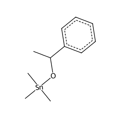 CC([O][Sn]([CH3])([CH3])[CH3])c1ccccc1